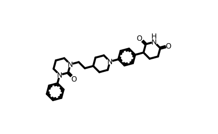 O=C1CCC(c2ccc(N3CCC(CCN4CCCN(c5ccccc5)C4=O)CC3)cc2)C(=O)N1